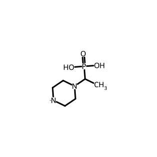 CC(N1CC[N]CC1)P(=O)(O)O